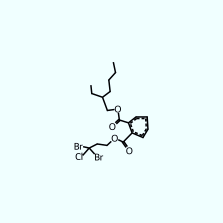 CCCCC(CC)COC(=O)c1ccccc1C(=O)OCCC(Cl)(Br)Br